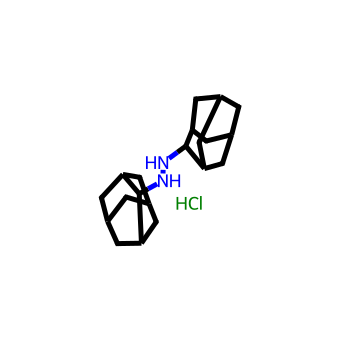 C1C2CC3CC1CC(C2)C3NNC1C2CC3CC(C2)CC1C3.Cl